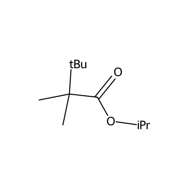 CC(C)OC(=O)C(C)(C)C(C)(C)C